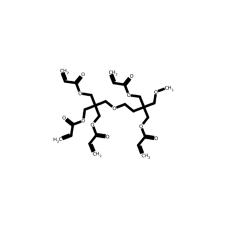 C=CC(=O)OCC(CCOCC(COC(=O)C=C)(COC(=O)C=C)COC(=O)C=C)(COC)COC(=O)C=C